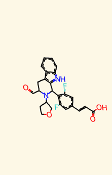 O=CC1Cc2c([nH]c3ccccc23)C(c2c(F)cc(C=CC(=O)O)cc2F)N1C1CCOC1